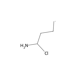 [CH2]CCC(N)Cl